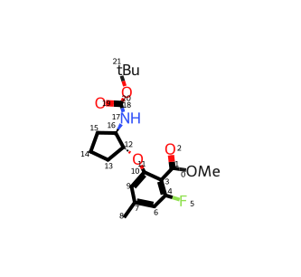 COC(=O)c1c(F)cc(C)cc1O[C@@H]1CCC[C@H]1NC(=O)OC(C)(C)C